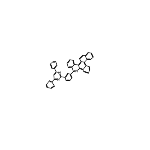 c1ccc(-c2cc(-c3ccccc3)nc(-c3cccc(-c4nc5c6ccccc6c6c7ccccc7ccc6c5c5ccccc45)c3)n2)cc1